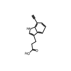 C#Cc1cccc2c(CCC(=O)O)c[nH]c12